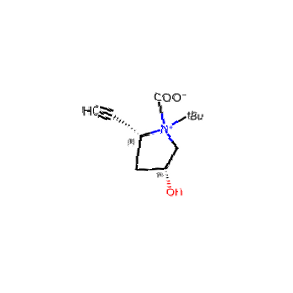 C#C[C@H]1C[C@@H](O)C[N+]1(C(=O)[O-])C(C)(C)C